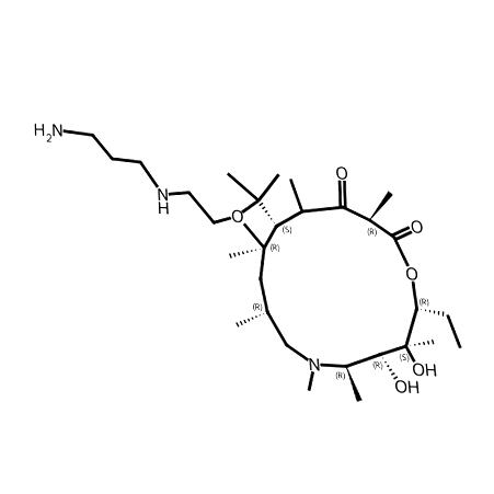 CC[C@H]1OC(=O)[C@H](C)C(=O)C(C)[C@@H](C(C)(C)C)[C@](C)(OCCNCCCN)C[C@@H](C)CN(C)[C@H](C)[C@@H](O)[C@]1(C)O